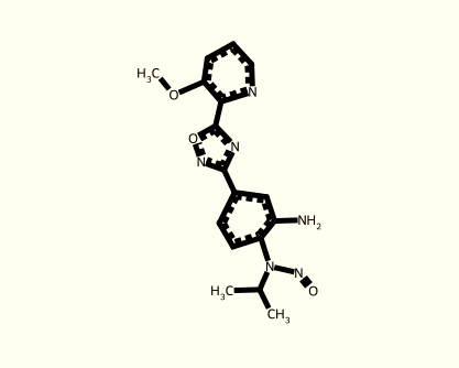 COc1cccnc1-c1nc(-c2ccc(N(N=O)C(C)C)c(N)c2)no1